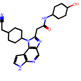 N#CCC1CCC(n2c(CC(=O)NC3CCC(O)CC3)nc3cnc4[nH]ccc4c32)CC1